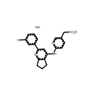 CCOC(=O)Cc1ccc(Nc2cc(-c3cccc(Cl)c3)nc3c2CCC3)nc1.Cl